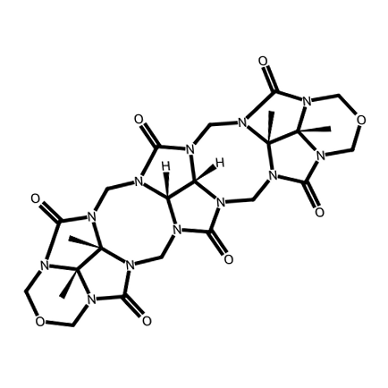 C[C@]12N3COCN1C(=O)N1CN4C(=O)N5CN6C(=O)N7COCN8C(=O)N(CN9C(=O)N(CN(C3=O)[C@]12C)[C@@H]4[C@H]95)[C@]6(C)[C@@]78C